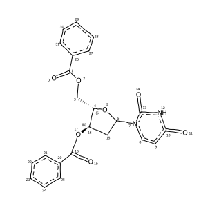 O=C(OC[C@@H]1OC(n2ccc(=O)[nH]c2=O)C[C@H]1OC(=O)c1ccccc1)c1ccccc1